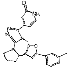 Cc1cccc(-c2cc([C@H]3CCCN3c3nnc(-c4cc[nH]c(=O)c4)n3C)no2)c1